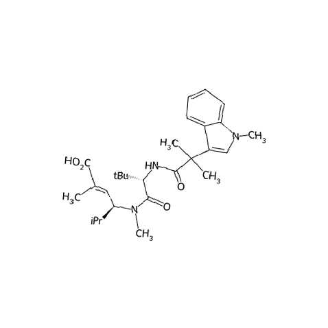 C/C(=C\[C@H](C(C)C)N(C)C(=O)[C@@H](NC(=O)C(C)(C)c1cn(C)c2ccccc12)C(C)(C)C)C(=O)O